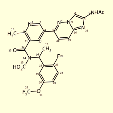 CC(=O)Nc1cn2nc(-c3cnc(C)c(C(=O)N(C(=O)O)C(C)c4cc(OC(F)(F)F)ccc4F)c3)ccc2n1